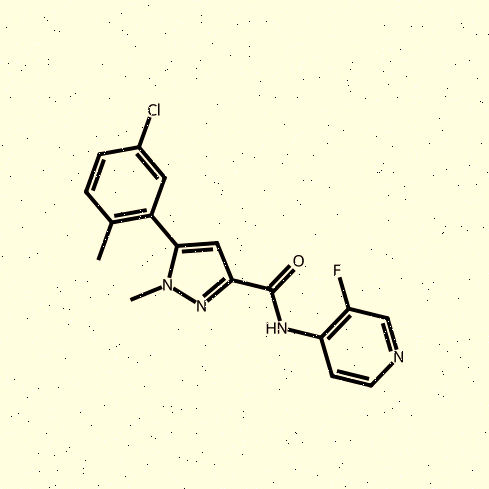 Cc1ccc(Cl)cc1-c1cc(C(=O)Nc2ccncc2F)nn1C